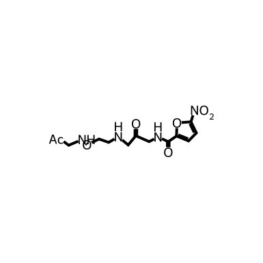 CC(=O)CNOCCNCC(=O)CNC(=O)c1ccc([N+](=O)[O-])o1